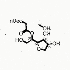 CCCCCCCCCCCC(=O)O[C@H](CO)[C@H]1OC[C@H](O)[C@H]1O.CO